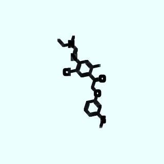 CCN(C)C=Nc1cc(C)c(C(=O)COc2cccc(SC)c2)cc1Cl